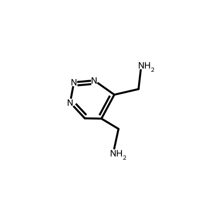 NCc1cnnnc1CN